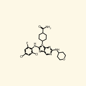 NC(=O)C1CCC(n2c(Nc3c(F)cc(Cl)cc3Cl)nc3cnc(NC4CCOCC4)nc32)CC1